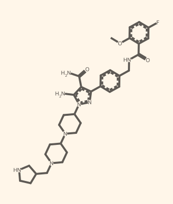 COc1ccc(F)cc1C(=O)NCc1ccc(-c2nn(C3CCN(C4CCN(CC5CCNC5)CC4)CC3)c(N)c2C(N)=O)cc1